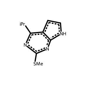 CSc1nc(C(C)C)c2cc[nH]c2n1